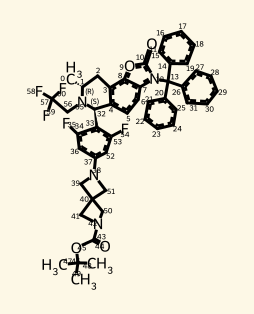 C[C@@H]1Cc2c(ccc3c2oc(=O)n3C(c2ccccc2)(c2ccccc2)c2ccccc2)[C@@H](c2c(F)cc(N3CC4(CN(C(=O)OC(C)(C)C)C4)C3)cc2F)N1CC(F)(F)F